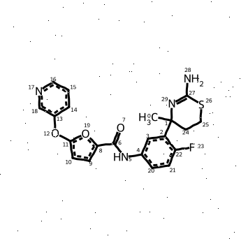 CC1(c2cc(NC(=O)c3ccc(Oc4cccnc4)o3)ccc2F)CCSC(N)=N1